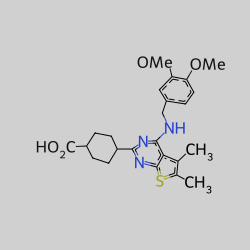 COc1ccc(CNc2nc(C3CCC(C(=O)O)CC3)nc3sc(C)c(C)c23)cc1OC